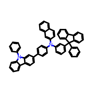 c1ccc(-n2c3ccccc3c3ccc(-c4ccc(N(c5cccc(C6(c7ccccc7)c7ccccc7-c7ccccc76)c5)c5ccc6ccccc6c5)cc4)cc32)cc1